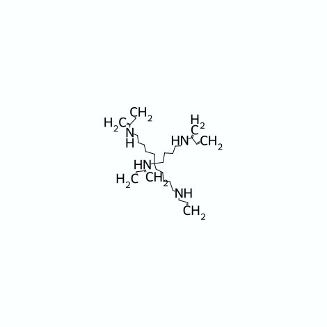 C=CCNCCCCCC(CCCCCNC(=C)C=C)(CCCCCNC(=C)C=C)NC(=C)C=C